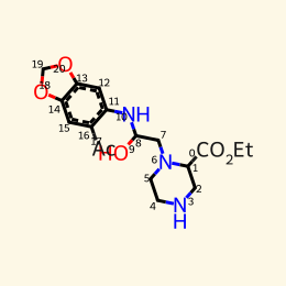 CCOC(=O)C1CNCCN1CC(O)Nc1cc2c(cc1C(C)=O)OCO2